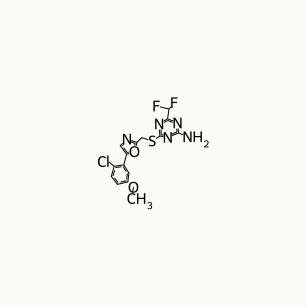 COc1ccc(Cl)c(-c2cnc(CSc3nc(N)nc(C(F)F)n3)o2)c1